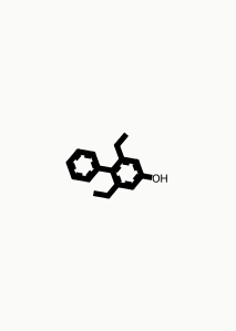 CCc1cc(O)cc(CC)c1-c1ccccc1